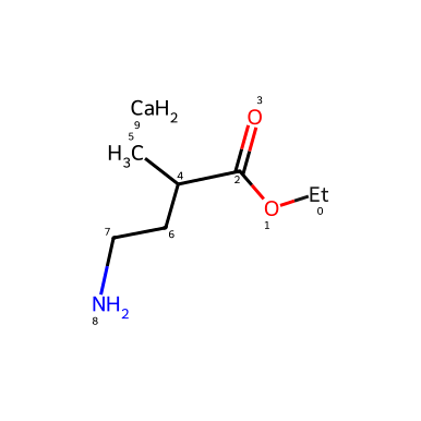 CCOC(=O)C(C)CCN.[CaH2]